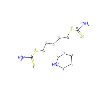 C1CCNCC1.NC(=S)SCCCCCSC(N)=S